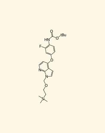 CC(C)(C)OC(=O)Nc1ccc(Oc2ccnc3c2ccn3COCC[Si](C)(C)C)cc1F